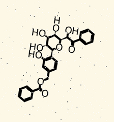 O=C(OCc1ccc([C@@H]2O[C@H](C(O)C(=O)c3ccccc3)[C@@H](O)[C@H](O)[C@H]2O)c(O)c1)c1ccccc1